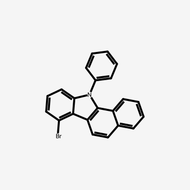 Brc1cccc2c1c1ccc3ccccc3c1n2-c1ccccc1